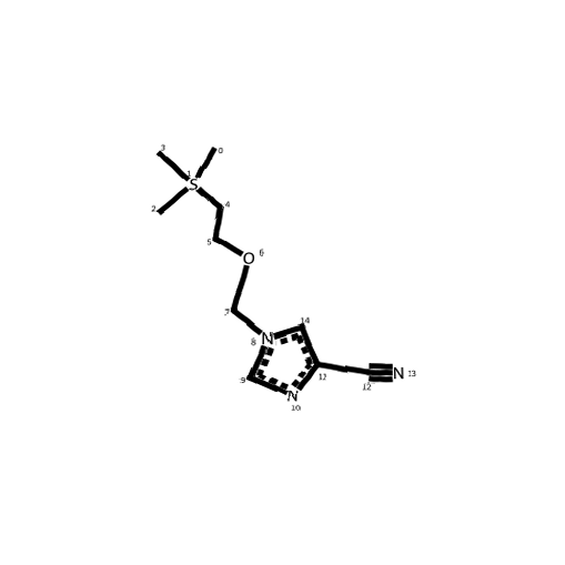 CS(C)(C)CCOCn1cnc(C#N)c1